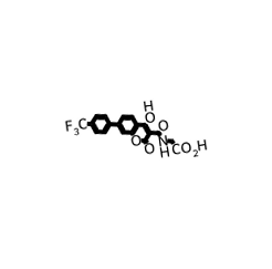 O=C(O)CNC(=O)c1c(O)c2ccc(-c3ccc(C(F)(F)F)cc3)cc2oc1=O